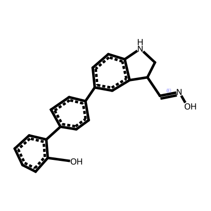 O/N=C/C1CNc2ccc(-c3ccc(-c4ccccc4O)cc3)cc21